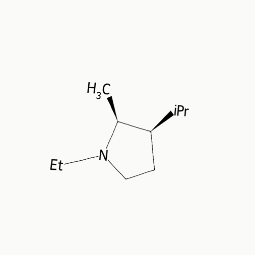 CCN1CC[C@H](C(C)C)[C@@H]1C